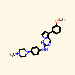 COc1cccc(-c2ccn3nc(Nc4ccc(N5CCN(C)CC5)cc4)ncc23)c1